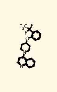 FC(F)(F)C(F)(F)c1ccccc1OC1CCN(c2c[c]nc3ccccc23)CC1